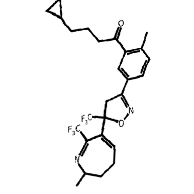 Cc1ccc(C2=NOC(C3=CCCC(C)N=C3C(F)(F)F)(C(F)(F)F)C2)cc1C(=O)CCCC1CC1